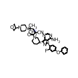 CC(C)(/C=C(/C#N)C(=O)N1CCC[C@@H](c2nn(-c3ccc(Oc4ccccc4)cc3F)c3c(N)ncnc23)C1)N1CCN(C2COC2)CC1